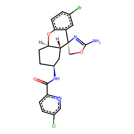 NC1=N[C@]2(CO1)c1cc(Br)ccc1O[C@@H]1CC[C@H](NC(=O)c3ccc(Cl)cn3)C[C@H]12